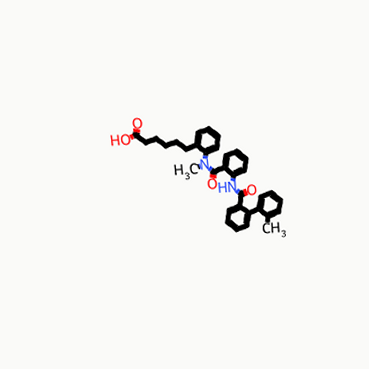 Cc1ccccc1-c1ccccc1C(=O)Nc1ccccc1C(=O)N(C)c1ccccc1CCCCCC(=O)O